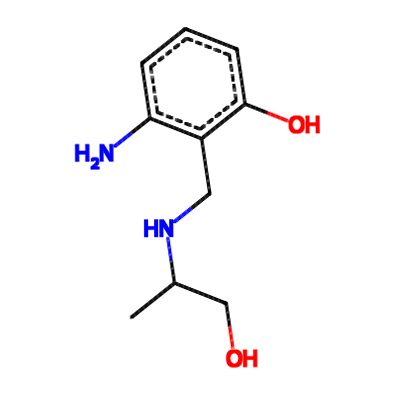 CC(CO)NCc1c(N)cccc1O